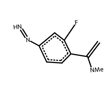 C=C(NC)c1ccc(N=N)cc1F